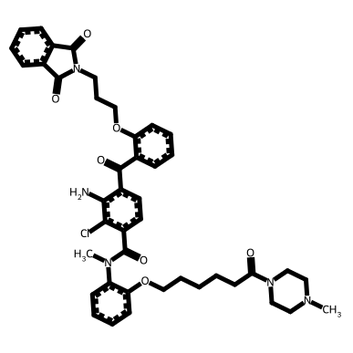 CN1CCN(C(=O)CCCCCOc2ccccc2N(C)C(=O)c2ccc(C(=O)c3ccccc3OCCCN3C(=O)c4ccccc4C3=O)c(N)c2Cl)CC1